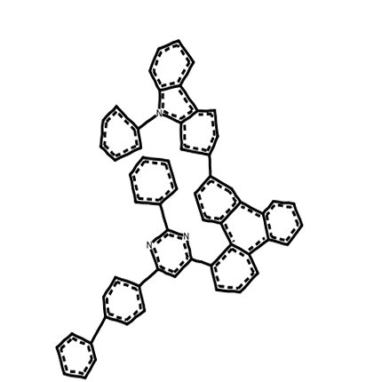 c1ccc(-c2ccc(-c3cc(-c4cccc5c6ccccc6c6cc(-c7ccc8c9ccccc9n(-c9ccccc9)c8c7)ccc6c45)nc(-c4ccccc4)n3)cc2)cc1